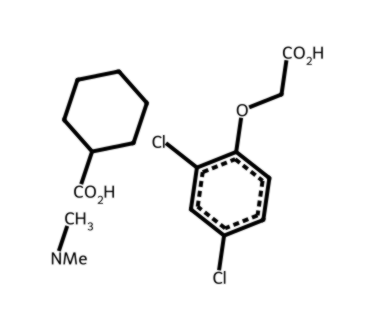 CNC.O=C(O)C1CCCCC1.O=C(O)COc1ccc(Cl)cc1Cl